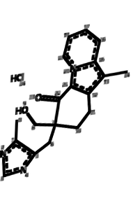 Cc1[nH]cnc1CC1(CO)CCc2c(C)c3ccccn3c2C1=O.Cl